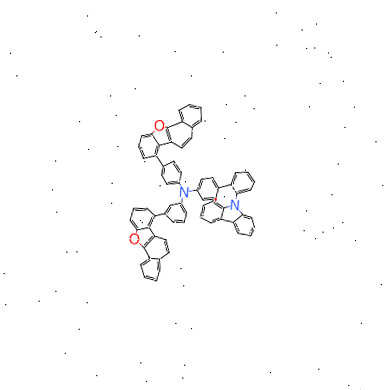 c1cc(-c2cccc3oc4c5ccccc5ccc4c23)cc(N(c2ccc(-c3ccccc3-n3c4ccccc4c4ccccc43)cc2)c2ccc(-c3cccc4oc5c6ccccc6ccc5c34)cc2)c1